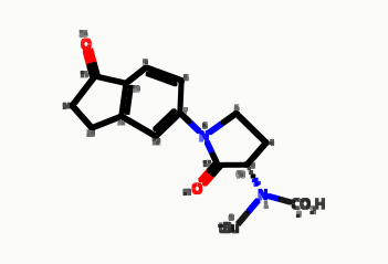 CC(C)(C)N(C(=O)O)[C@H]1CCN(c2ccc3c(c2)CCC3=O)C1=O